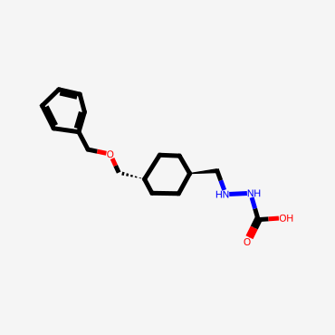 O=C(O)NNC[C@H]1CC[C@H](COCc2ccccc2)CC1